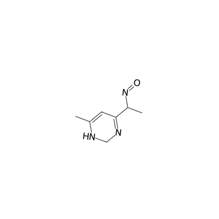 CC1=CC(C(C)N=O)=NCN1